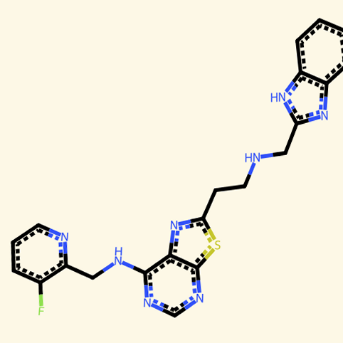 Fc1cccnc1CNc1ncnc2sc(CCNCc3nc4ccccc4[nH]3)nc12